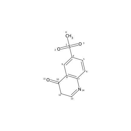 CS(=O)(=O)c1ccc2c(c1)C(=O)CC=N2